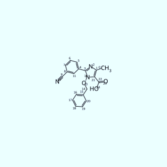 Cc1nc(-c2cccc(C#N)c2)n(OCc2ccccc2)c1C(=O)O